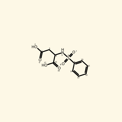 O=C(O)CC(NS(=O)(=O)c1ccccc1)C(=O)O